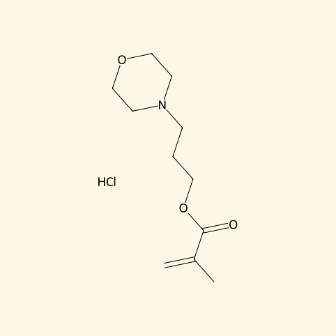 C=C(C)C(=O)OCCCN1CCOCC1.Cl